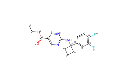 CCOC(=O)c1cnc(NC2(c3ccc(F)c(F)c3)CCC2)nc1